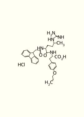 C=CCOc1ccc(C[C@H](NC(=O)[C@H](CCC(C)NC(=N)N)NC(=O)CC2c3ccccc3-c3ccccc32)C(=O)O)cc1.Cl